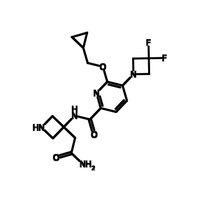 NC(=O)CC1(NC(=O)c2ccc(N3CC(F)(F)C3)c(OCC3CC3)n2)CNC1